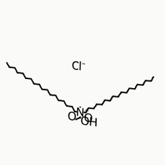 CCCCCCCCCCCCCCCCCC(=O)[N+](C)(C(=O)CCCCCCCCCCCCCCCCC)C(C)O.[Cl-]